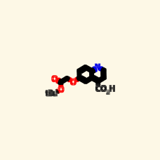 CC(C)(C)OC(=O)COc1ccc2nccc(C(=O)O)c2c1